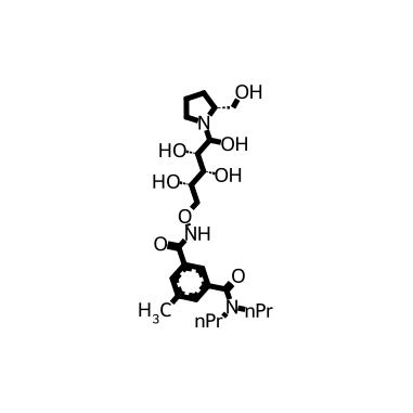 CCCN(CCC)C(=O)c1cc(C)cc(C(=O)NOC[C@H](O)[C@@H](O)[C@H](O)C(O)N2CCC[C@@H]2CO)c1